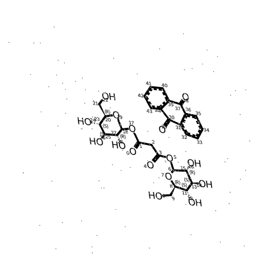 O=C(CC(=O)OC1O[C@H](CO)[C@@H](O)[C@H](O)[C@H]1O)OC1O[C@H](CO)[C@@H](O)[C@H](O)[C@H]1O.O=C1c2ccccc2C(=O)c2ccccc21